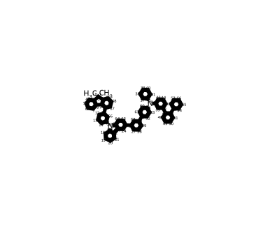 CC1(C)c2ccccc2-c2c(-c3cccc(-n4c5ccccc5c5cc(-c6cccc(-c7ccc(N(c8ccccc8)c8cccc(-c9ccccc9-c9ccccc9)c8)cc7)c6)ccc54)c3)cccc21